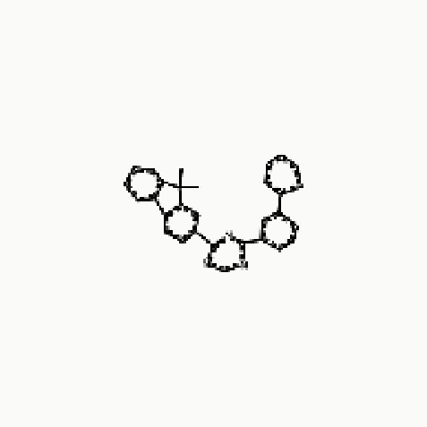 CC1(C)c2ccccc2-c2ccc(-c3ncnc(-c4cccc(-c5ccccc5)c4)n3)cc21